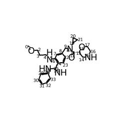 COCCCNc1cc(CN(C(=O)[C@H]2CNCCO2)C2CC2)ccc1C(=N)Nc1ccccc1